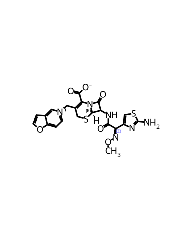 CO/N=C(\C(=O)NC1C(=O)N2C(C(=O)[O-])=C(C[n+]3ccc4occc4c3)CS[C@H]12)c1csc(N)n1